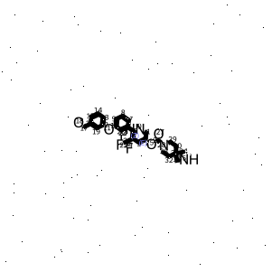 N=C/C(=C\C(=C\c1cccc(Oc2cccc(C=O)c2)c1)C(F)(F)F)OC(=O)N1CCC2(CC1)CNC2